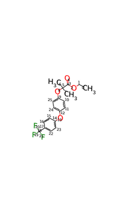 CCOC(=O)C(C)(C)Oc1ccc(Oc2ccc(C(F)(F)F)cc2)cc1